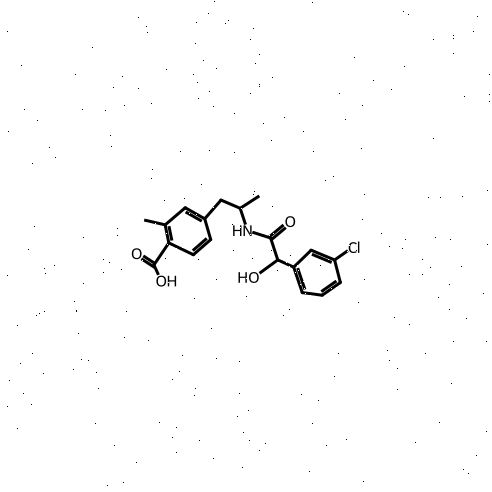 Cc1cc(CC(C)NC(=O)C(O)c2cccc(Cl)c2)ccc1C(=O)O